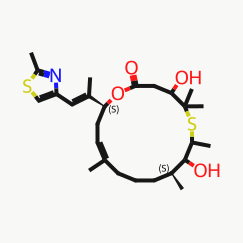 CC1=CC[C@@H](C(C)=Cc2csc(C)n2)OC(=O)CC(O)C(C)(C)SC(C)C(O)[C@@H](C)CCC1